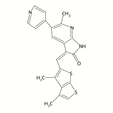 Cc1nc2c(cc1-c1ccncc1)C(=Cc1sc3scc(C)c3c1C)C(=O)N2